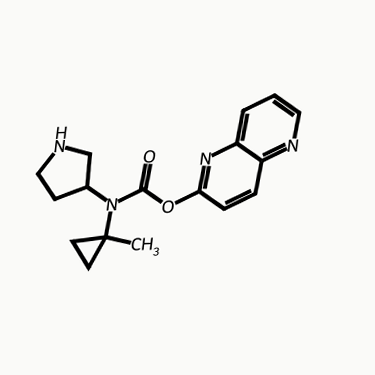 CC1(N(C(=O)Oc2ccc3ncccc3n2)C2CCNC2)CC1